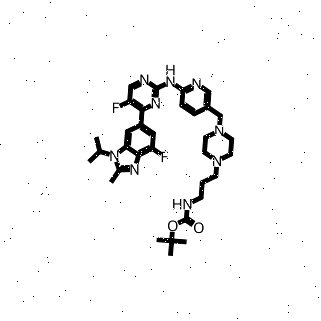 Cc1nc2c(F)cc(-c3nc(Nc4ccc(CN5CCN(CCCNC(=O)OC(C)(C)C)CC5)cn4)ncc3F)cc2n1C(C)C